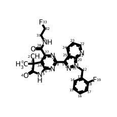 CC1(C)C(=O)Nc2nc(-c3nn(Cc4ccccc4F)c4ncccc34)nc(C(=O)NCCF)c21